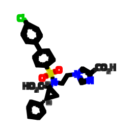 O=C(O)c1cn(CCN([C@]2(C(=O)O)C[C@@H]2c2ccccc2)S(=O)(=O)c2ccc(-c3ccc(Cl)cc3)cc2)cn1